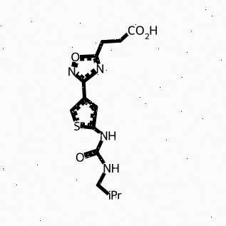 CC(C)CNC(=O)Nc1cc(-c2noc(CCC(=O)O)n2)cs1